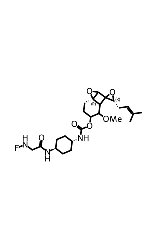 COC1C(OC(=O)N[C@H]2CC[C@H](NC(=O)CNF)CC2)CC[C@]23OC2C2(O[C@@H]2CC=C(C)C)C13